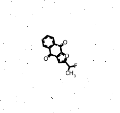 CC(F)c1cc2c(o1)C(=O)c1ccccc1C2=O